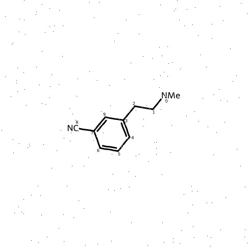 CNCCc1cccc(C#N)c1